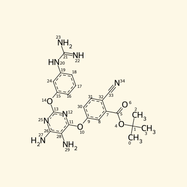 CC(C)(C)OC(=O)c1cc(Oc2nc(Oc3cccc(NC(=N)N)c3)nc(N)c2N)ccc1C#N